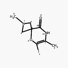 CC1=C(I)OC2(CN(C)C2)C(=O)N1